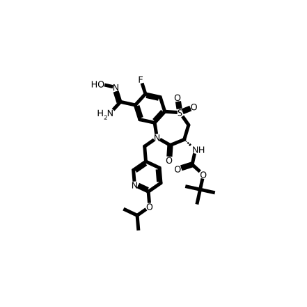 CC(C)Oc1ccc(CN2C(=O)[C@@H](NC(=O)OC(C)(C)C)CS(=O)(=O)c3cc(F)c(/C(N)=N/O)cc32)cn1